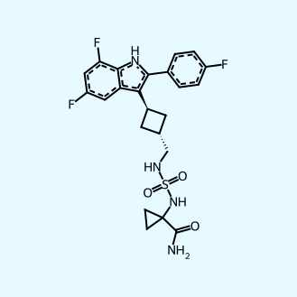 NC(=O)C1(NS(=O)(=O)NC[C@H]2C[C@H](c3c(-c4ccc(F)cc4)[nH]c4c(F)cc(F)cc43)C2)CC1